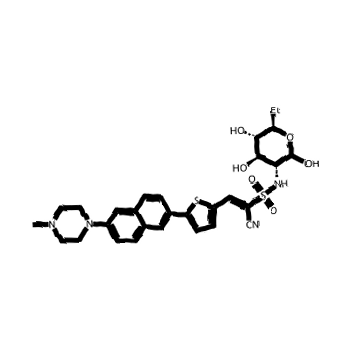 CC[C@H]1OC(O)[C@H](NS(=O)(=O)/C(C#N)=C/c2ccc(-c3ccc4cc(N5CCN(C)CC5)ccc4c3)s2)[C@@H](O)[C@@H]1O